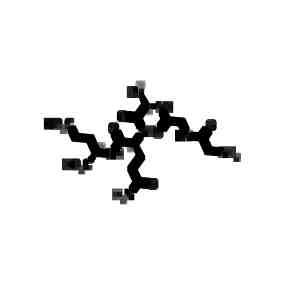 CC[C@H](C)[C@H](NC(=O)CNC(=O)CN)C(=O)N[C@@H](CCC(N)=O)C(=O)N[C@@H](CCC(=O)O)C(=O)O